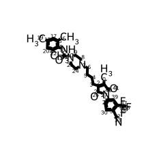 CC1=C(CCCCN2CCN(C(=O)Nc3c(C)cc(C)cc3C)CC2)C(=O)N(c2ccc(C#N)c(C(F)(F)F)c2)C1=O